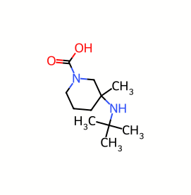 CC(C)(C)NC1(C)CCCN(C(=O)O)C1